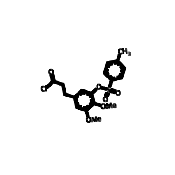 COc1cc(CCC(=O)Cl)cc(OS(=O)(=O)c2ccc(C)cc2)c1OC